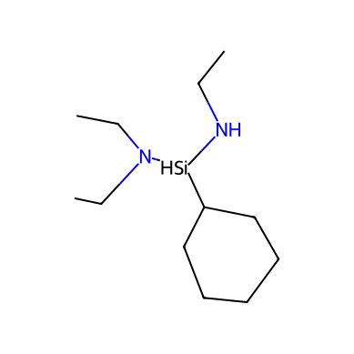 CCN[SiH](C1CCCCC1)N(CC)CC